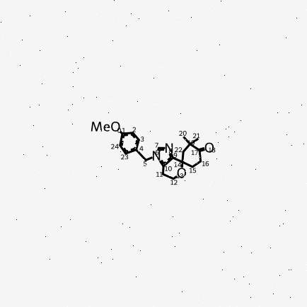 COc1ccc(Cn2cnc3c2CCOC32CCC(=O)C(C)(C)C2)cc1